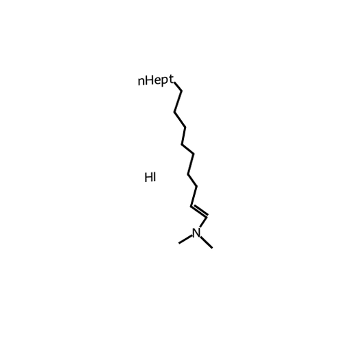 CCCCCCCCCCCCCCC=CN(C)C.I